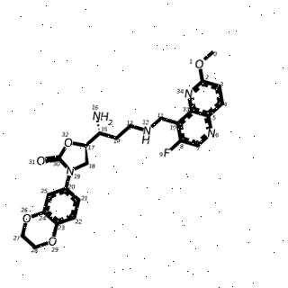 COc1ccc2ncc(F)c(CNCC[C@@H](N)[C@H]3CN(c4ccc5c(c4)OCCO5)C(=O)O3)c2n1